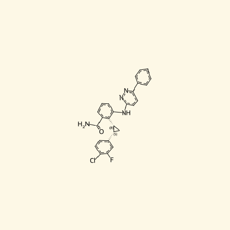 NC(=O)c1cccc(Nc2ccc(-c3ccccc3)nn2)c1[C@@H]1C[C@@H]1c1ccc(Cl)c(F)c1